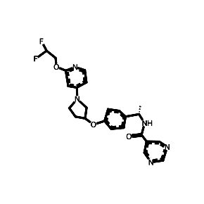 C[C@H](NC(=O)c1cncnc1)c1ccc(OC2CCN(c3ccnc(OCC(F)F)c3)C2)cc1